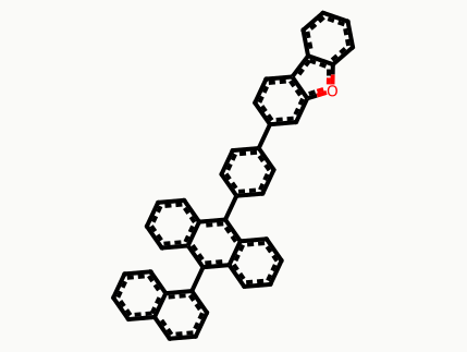 c1ccc2c(-c3c4ccccc4c(-c4ccc(-c5ccc6c(c5)oc5ccccc56)cc4)c4ccccc34)cccc2c1